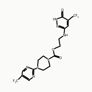 O=C(OCCNc1cc(C(F)(F)F)c(=O)[nH]n1)N1CCN(c2ncc(C(F)(F)F)cn2)CC1